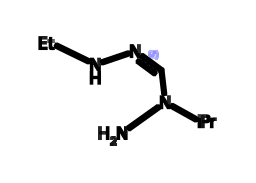 CCN/N=C\N(N)C(C)C